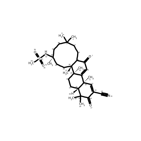 CC1(C)CCC2C(=O)C=C3[C@@]4(C)C=C(C#N)C(=O)C(C)(C)[C@@H]4CC[C@@]3(C)[C@]2(C)CC[C@@](C)(NS(C)(=O)=O)CC1